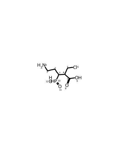 NCCC(C(CCl)C(=O)O)[PH](=O)O